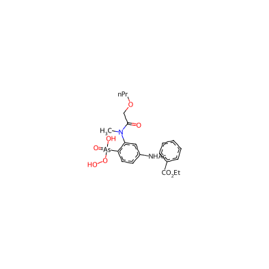 CCCOCC(=O)N(C)c1cc(NC(C)=O)ccc1[As](=O)(O)OO.CCOC(=O)c1ccccc1